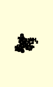 CCC(C(OC)[C@@H](OCCN)O[C@H]([C@@H](C)C1=C(C)C(=O)OC(C)(C)O1)[C@@](C)(C[C@@H](C)C=O)OC)N(C)C